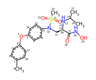 Cc1ccc(Oc2ccc(N(C[C@@H](NC(C)C)C(=O)NO)S(C)(=O)=O)cc2)cc1